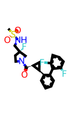 CS(=O)(=O)NC[C@]1(F)CCN(C(=O)[C@@H]2C[C@H]2c2ccccc2-c2c(F)cccc2F)C1